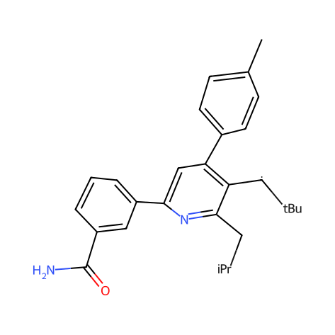 Cc1ccc(-c2cc(-c3cccc(C(N)=O)c3)nc(CC(C)C)c2[CH]C(C)(C)C)cc1